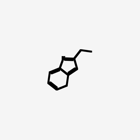 CCC1=NC2=CC=CCC2=C1